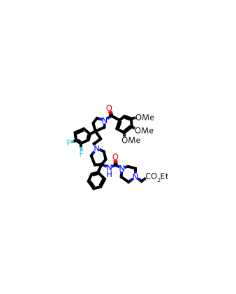 CCOC(=O)CN1CCN(C(=O)NC2(c3ccccc3)CCN(CCC3(c4ccc(F)c(F)c4)CCN(C(=O)c4cc(OC)c(OC)c(OC)c4)C3)CC2)CC1